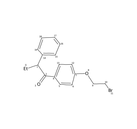 CCC(C(=O)c1ccc(OCCBr)cc1)c1ccccc1